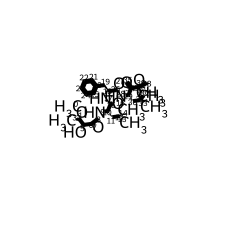 CO[C@H](C)C(O)C1OC1N[C@@H](CC(C)C)C(=O)N[C@@H](Cc1ccccc1)C(=O)N[C@@H](CC(C)C)C(=O)[C@@]1(C)CO1